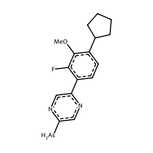 COc1c(C2CCCC2)ccc(-c2cnc([AsH2])cn2)c1F